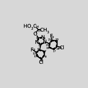 CC(Oc1nc(-c2ccc(Cl)cc2F)n(-c2ccc(Cl)cc2F)n1)C(=O)O